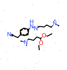 CCOC(CCCN(C)C)OCC.CN(C)CCCC=NNc1ccc(CC#N)cc1